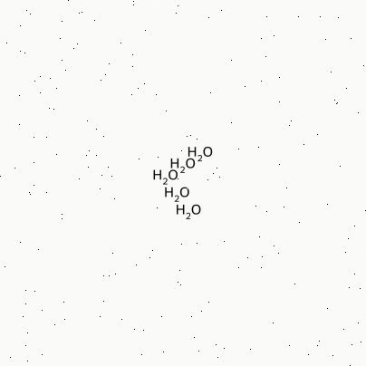 O.O.O.O.O